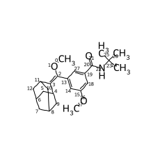 COC(=C1C2CC3CC(C2)CC1C3)c1cc(OC)cc(C(=O)NC(C)(C)C)c1